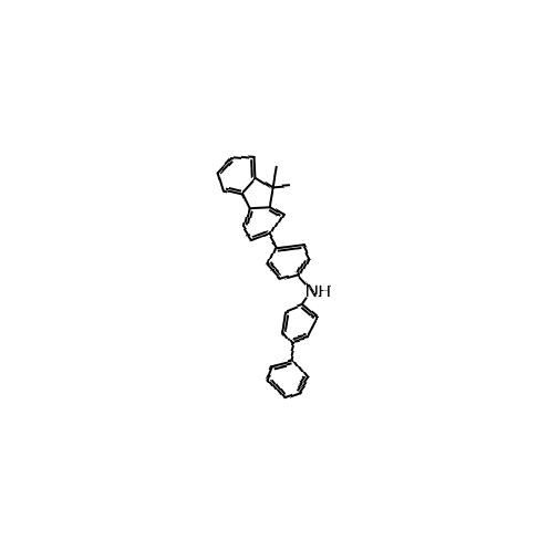 CC1(C)c2ccccc2-c2ccc(-c3ccc(Nc4ccc(-c5ccccc5)cc4)cc3)cc21